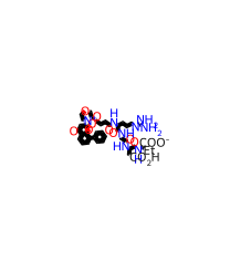 CCC(NC(=O)C(CC(=O)O)NC(=O)CNC(=O)C(CCCN=C(N)N)NC(=O)CCC(=O)O[N+]1(c2cc(=O)c3cccc(-c4ccccc4)c3o2)CCOCC1)C(=O)[O-]